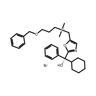 C[N+](C)(CCCOCc1ccccc1)Cc1cnc([C@](O)(c2ccccc2)C2CCCCC2)o1.[Br-]